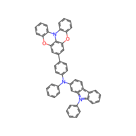 c1ccc(N(c2ccc(-c3cc4c5c(c3)Oc3ccccc3N5c3ccccc3O4)cc2)c2ccc3c4ccccc4n(-c4ccccc4)c3c2)cc1